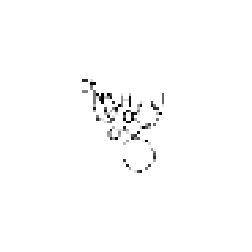 CC[N+]12CCC(CC1)[C@@H](OC(=O)C1(c3ccccc3)CCCCCCC1)C2.[I-]